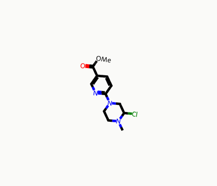 COC(=O)c1ccc(N2CCN(C)C(Cl)C2)nc1